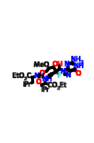 C#C[C@](F)(C(O)C(COP(=O)(NC(CC(C)C)C(=O)OCC)NC(CC(C)C)C(=O)OCC)OC)C(C)n1cnc2c(=O)[nH]c(N)nc21